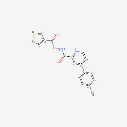 O=C(ONC(=O)c1cc(-c2ccc(Cl)cc2)ccn1)c1ccsc1